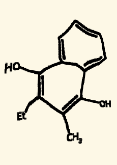 CCc1c(C)c(O)c2ccccc2c1O